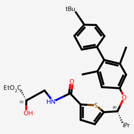 CCOC(=O)[C@@H](O)CNC(=O)c1ccc([C@H](Oc2cc(C)c(-c3ccc(C(C)(C)C)cc3)c(C)c2)C(C)C)s1